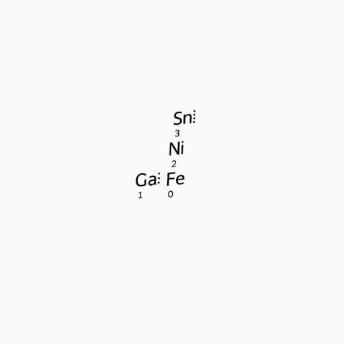 [Fe].[Ga].[Ni].[Sn]